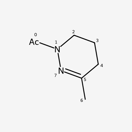 CC(=O)N1CCCC(C)=N1